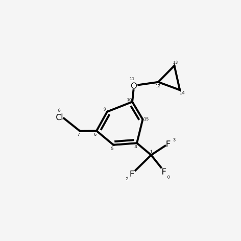 FC(F)(F)c1cc(CCl)cc(OC2CC2)c1